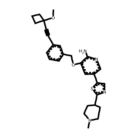 COC1(C#Cc2cccc(COc3cc(-c4cnc(C5CCN(C)CC5)s4)cnc3N)c2)CCC1